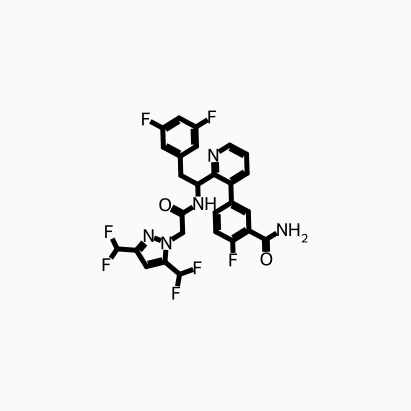 NC(=O)c1cc(-c2cccnc2C(Cc2cc(F)cc(F)c2)NC(=O)Cn2nc(C(F)F)cc2C(F)F)ccc1F